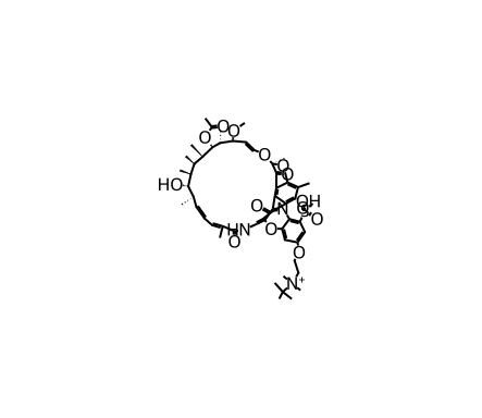 CO[C@H]1/C=C/O[C@@]2(C)Oc3c(C)c(O)c4c(=O)c(c5oc6cc(OCC[N+](C)(C)C(C)(C)C)cc(S(C)(=O)=O)c6nc-5c4c3C2=O)NC(=O)/C(C)=C\C=C\[C@H](C)[C@H](O)[C@@H](C)[C@@H](C)[C@@H](C)[C@H](OC(C)=O)[C@@H]1C